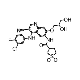 N#Cc1cnc2cc(OCC(O)CO)c(NC(=O)C3CCS(=O)(=O)S3)cc2c1Nc1ccc(F)c(Cl)c1